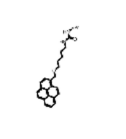 CCCNC(=O)NCCCCCOCc1ccc2ccc3cccc4ccc1c2c34